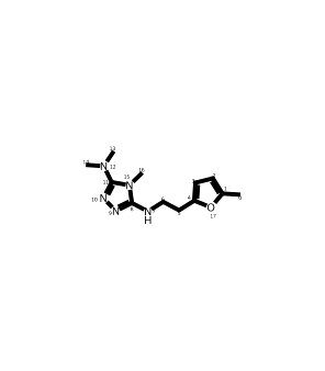 Cc1ccc(CCNc2nnc(N(C)C)n2C)o1